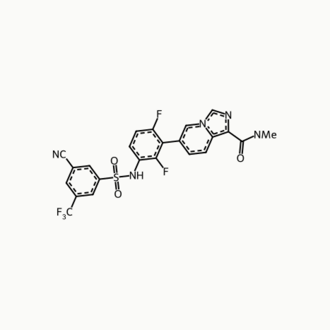 CNC(=O)c1ncn2cc(-c3c(F)ccc(NS(=O)(=O)c4cc(C#N)cc(C(F)(F)F)c4)c3F)ccc12